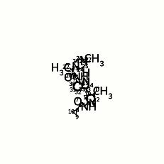 Cc1cnc(NC(=O)C2CC2)cc1-c1c[nH]c2c(NC(=O)C(C)N3CCN(C)CC3)cccc12